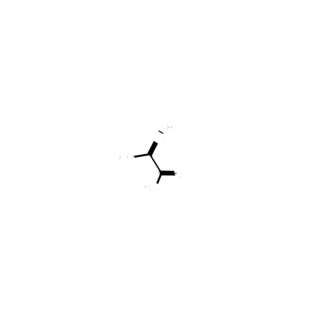 C=C=C(O)C(=O)O